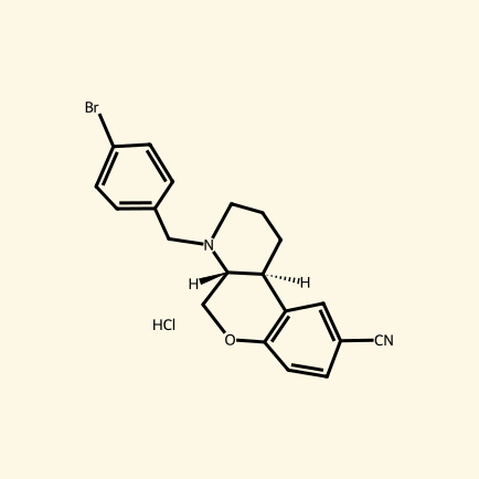 Cl.N#Cc1ccc2c(c1)[C@@H]1CCCN(Cc3ccc(Br)cc3)[C@H]1CO2